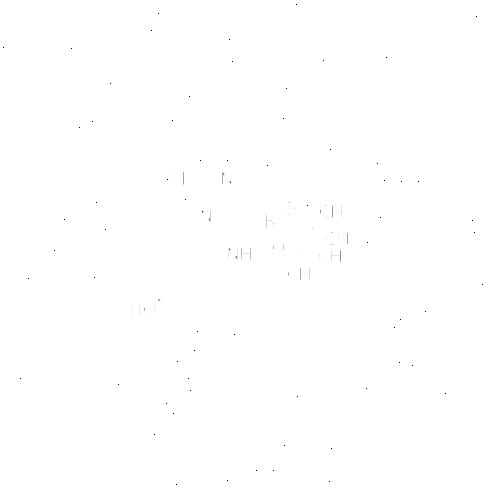 CC1(C)OB(c2cnc(Cl)nc2N[C@H]2CC[C@H](O)CC2)OC1(C)C